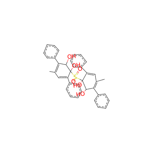 CC1=C(c2ccccc2)C(O)C(O)(S(=O)(=O)C2(O)C(c3ccccc3)=CC(C)=C(c3ccccc3)C2O)C(c2ccccc2)=C1